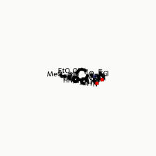 CCOC(=O)[C@@H]1CCCCC[C@H](NC(=O)/C=C/c2c(-n3cnnn3)ccc(Cl)c2F)c2cc(ccn2)-c2ccc(NC(=O)OCCOC)cc2N1